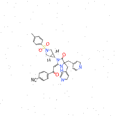 Cc1ccc(S(=O)(=O)N2C[C@@H]3[C@H](C2)[C@H]3N2C(=O)C(Cc3ccncc3)(Cc3ccncc3)N/C2=C\C(=O)c2ccc(C#N)cc2)cc1